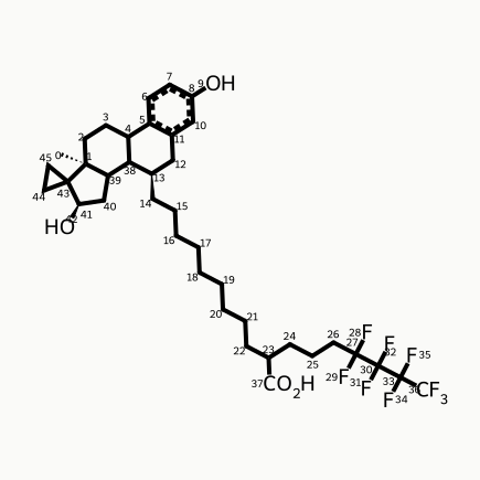 C[C@]12CCC3c4ccc(O)cc4C[C@@H](CCCCCCCCCC(CCCC(F)(F)C(F)(F)C(F)(F)C(F)(F)F)C(=O)O)C3C1C[C@@H](O)C21CC1